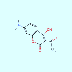 CN(C)c1ccc2c(O)c(C(=O)C(F)(F)F)c(=O)oc2c1